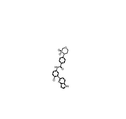 O=C(Nc1ccc(Cl)c(-c2ccc3[nH]ccc3n2)c1)c1ccc(N2CCOCS2(=O)=O)cc1